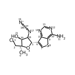 C[C@@]1(CCl)O[C@@H](c2csc3c(N)ncnc23)C(N=[N+]=[N-])[C@@H]1O